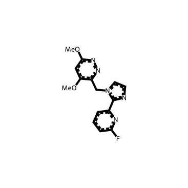 COc1cc(OC)c(Cn2ccnc2-c2cccc(F)n2)nn1